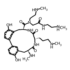 CNCCC[C@@H]1NC(=O)[C@@H](NC)Cc2cc(ccc2O)-c2ccc(O)c(c2)C[C@@H](C(=O)N(CCNC)CC(=O)NCCNC)NC1=O